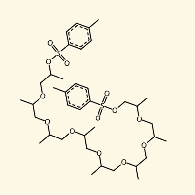 Cc1ccc(S(=O)(=O)OCC(C)OCC(C)OCC(C)OCC(C)OCC(C)OCC(C)OCC(C)OCC(C)OS(=O)(=O)c2ccc(C)cc2)cc1